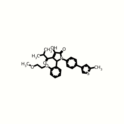 COCCOc1ccccc1C1C(C(=O)C(C)C)=C(O)C(=O)N1c1ccc(-c2csc(C)c2)cc1